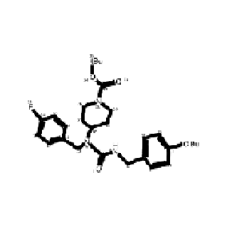 CC(C)COc1ccc(CNC(=O)N(Cc2ccc(F)cc2)C2CCN(C(=O)OC(C)(C)C)CC2)cc1